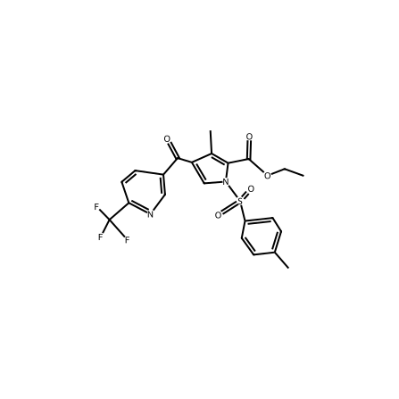 CCOC(=O)c1c(C)c(C(=O)c2ccc(C(F)(F)F)nc2)cn1S(=O)(=O)c1ccc(C)cc1